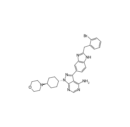 Nc1ncnc2c1c(-c1ccc3[nH]c(Cc4ccccc4Br)nc3c1)nn2[C@H]1CC[C@H](N2CCOCC2)CC1